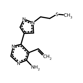 C=Cc1c(N)ncnc1-c1cnn(CCSC)c1